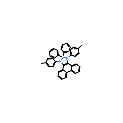 Cc1ccc(N2c3c(c4ccccc4c4ccccc34)N(c3ccc(C)cc3)[Si]2(c2ccccc2)c2ccccc2)cc1